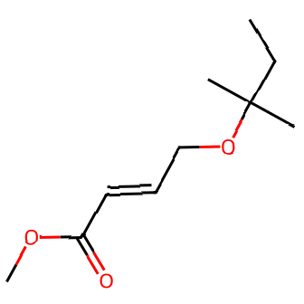 CCC(C)(C)OC/C=C/C(=O)OC